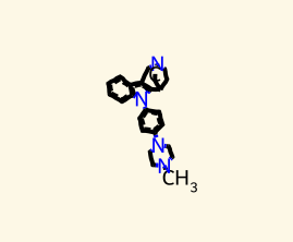 CN1CCN(c2ccc(-n3c4c(c5ccccc53)CN3CCC4CC3)cc2)CC1